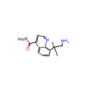 CNC(=O)c1ccnc2c(C(C)(C)CN)cccc12